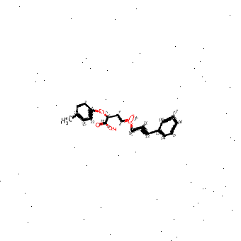 Cc1ccc(OC(CCOC/C=C/c2ccccc2)C(=O)O)cc1